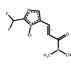 CCn1c(/C=C/C(=O)N(C)C)cnc1C(F)F